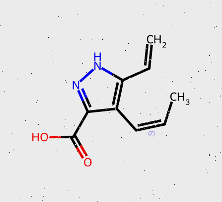 C=Cc1[nH]nc(C(=O)O)c1/C=C\C